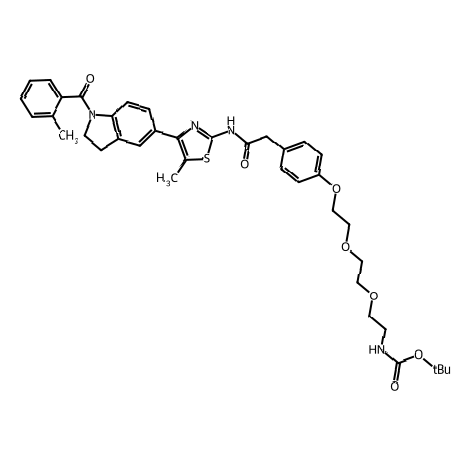 Cc1ccccc1C(=O)N1CCc2cc(-c3nc(NC(=O)Cc4ccc(OCCOCCOCCNC(=O)OC(C)(C)C)cc4)sc3C)ccc21